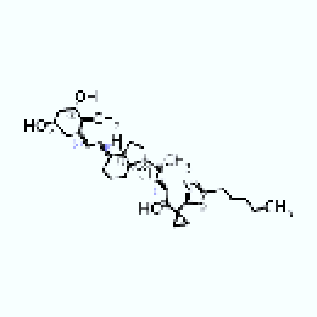 C=C1/C(=C\C=C2/CCC[C@]3(C)[C@@H]([C@H](C)/C=C/[C@@H](O)C4(c5ncc(CCCCC)s5)CC4)CC[C@@H]23)C[C@@H](O)C[C@@H]1O